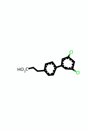 O=C(O)CCc1ccc(-c2cc(Cl)cc(Cl)c2)cc1